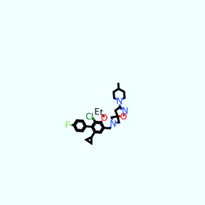 CCOc1c(CN2CC3(CC(N4CCC(C)CC4)=NO3)C2)cc(C2CC2)c(-c2ccc(F)cc2)c1Cl